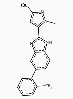 Cn1nc(C(C)(C)C)cc1-c1nc2cc(-c3ccccc3C(F)(F)F)ccc2[nH]1